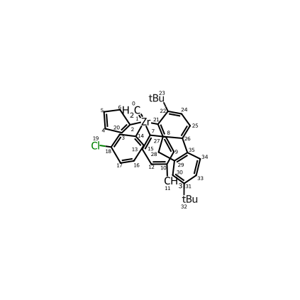 [CH2]=[Zr]([C]1=CC=CC1)([c]1ccc(C)cc1)([c]1cccc(Cl)c1)[c]1c(C(C)(C)C)ccc2c1Cc1cc(C(C)(C)C)ccc1-2